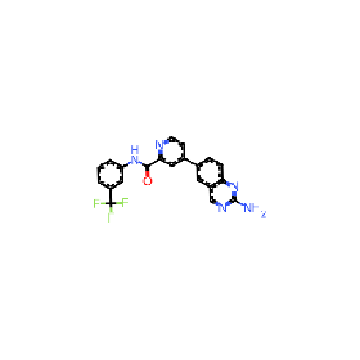 Nc1ncc2cc(-c3ccnc(C(=O)Nc4cccc(C(F)(F)F)c4)c3)ccc2n1